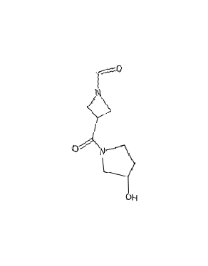 O=[C]N1CC(C(=O)N2CCC(O)C2)C1